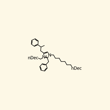 CCCCCCCCCCCCCCCCCn1cc(CC(C)c2ccccc2)[n+](CCCCCCCCCCC)c1Cc1ccccc1